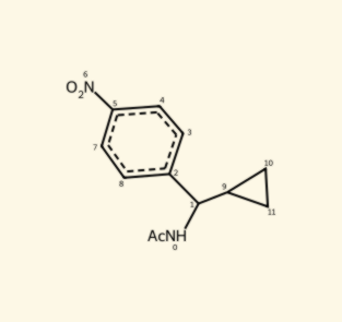 CC(=O)NC(c1ccc([N+](=O)[O-])cc1)C1CC1